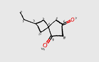 CCC1CC2(CC(=O)CC2=O)C1